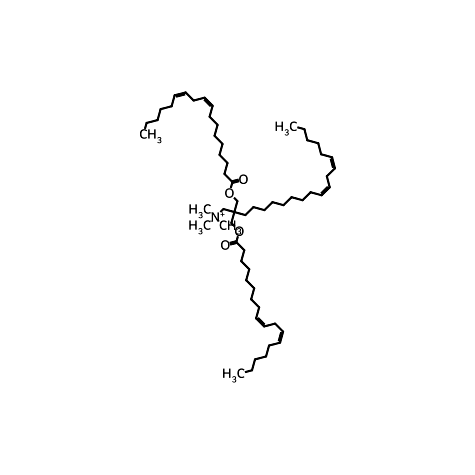 CCCCC/C=C\C/C=C\CCCCCCCCC(COC(=O)CCCCCCC/C=C\C/C=C\CCCCC)(COC(=O)CCCCCCC/C=C\C/C=C\CCCCC)C[N+](C)(C)C